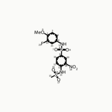 COc1ccc(NS(=O)(=O)c2ccc(NS(C)(=O)=O)c([N+](=O)[O-])c2)cc1F